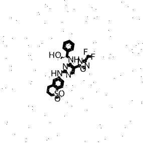 O=S1(=O)CCCc2cc(Nc3ncc(-c4nc(C(F)F)no4)c(N[C@H](CO)c4ccccc4)n3)ccc21